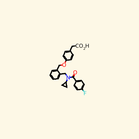 O=C(O)Cc1ccc(OCc2ccccc2CN(C(=O)c2ccc(F)cc2)C2CC2)cc1